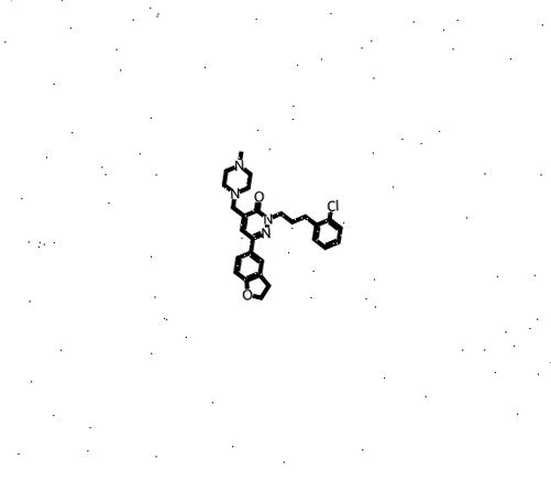 CN1CCN(Cc2cc(-c3ccc4c(c3)CCO4)nn(CCCc3ccccc3Cl)c2=O)CC1